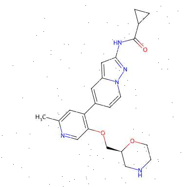 Cc1cc(-c2ccn3nc(NC(=O)C4CC4)cc3c2)c(OC[C@@H]2CNCCO2)cn1